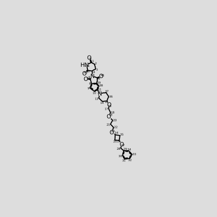 O=C1CCC(N2C(=O)c3ccc(N4CCC(OCCOCCCO[C@H]5C[C@H](OCc6ccccc6)C5)CC4)cc3C2=O)C(=O)N1